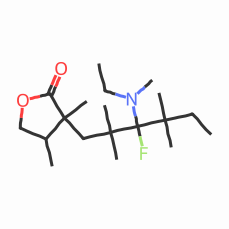 CCN(C)C(F)(C(C)(C)CC)C(C)(C)CC1(C)C(=O)OCC1C